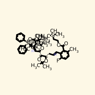 Cc1ccc(F)c(/C=C/C[C@@H]2OC(C)(C)O[C@@H]2C(/C=C\[C@@H](C)[C@H](C)O[Si](c2ccccc2)(c2ccccc2)C(C)(C)C)O[Si](C)(C)C(C)(C)C)c1C(=O)OCC[Si](C)(C)C